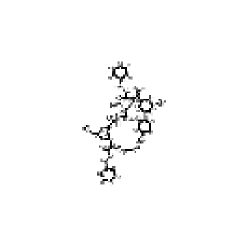 COCc1cc2cc(c1)N(C(=O)OCc1ccccc1)CC=CCOc1cccc(c1)C[C@@H]([C@H](O)CN(C(=O)OCc1ccccc1)C1(c3cccc(Br)c3)CC1)NC2=O